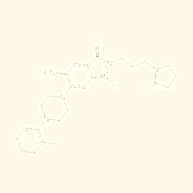 Cc1ccccc1N1CCN(c2cc3c(cc2N)c(=O)n(CCCN2CCCC2=O)n3C)CC1